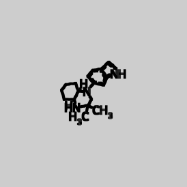 CC1(C)CN(c2ccc3cc[nH]c3c2)[C@H]2CCCC[C@H]2N1